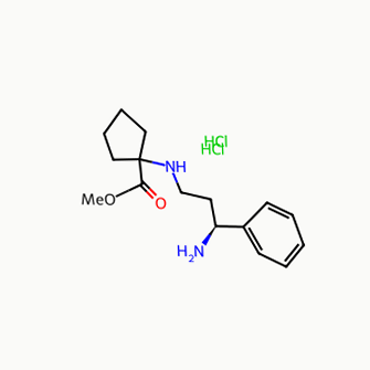 COC(=O)C1(NCC[C@H](N)c2ccccc2)CCCC1.Cl.Cl